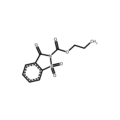 CCCOC(=O)N1C(=O)c2ccccc2S1(=O)=O